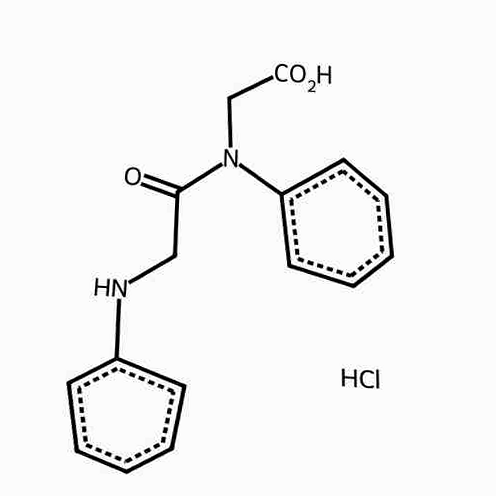 Cl.O=C(O)CN(C(=O)CNc1ccccc1)c1ccccc1